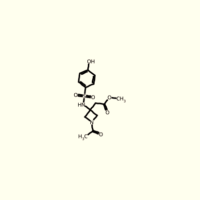 COC(=O)CC1(NS(=O)(=O)c2ccc(O)cc2)CN(C(C)=O)C1